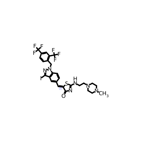 CN1CCN(CCNC2=NC(=O)/C(=C/c3ccc4c(c3)c(I)nn4Cc3ccc(C(F)(F)F)cc3C(F)(F)F)S2)CC1